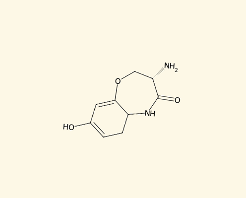 N[C@H]1COC2=CC(O)=CCC2NC1=O